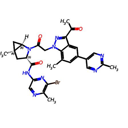 CC(=O)c1nn(CC(=O)N2[C@H](C(=O)Nc3cnc(C)c(Br)n3)C[C@@]3(C)C[C@@H]23)c2c(C)cc(-c3cnc(C)nc3)cc12